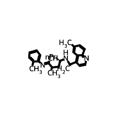 C=C(N[C@H](CCC)CC(C)/C(C)=N/c1ccccc1C)c1ccnc2ccc(C)cc12